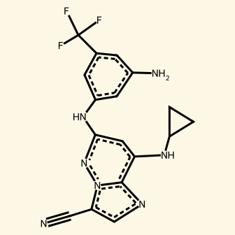 N#Cc1cnc2c(NC3CC3)cc(Nc3cc(N)cc(C(F)(F)F)c3)nn12